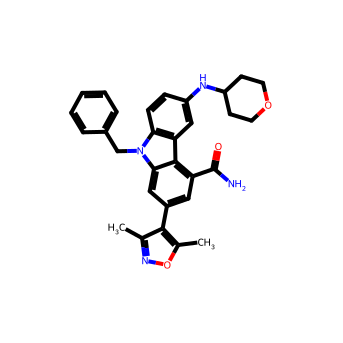 Cc1noc(C)c1-c1cc(C(N)=O)c2c3cc(NC4CCOCC4)ccc3n(Cc3ccccc3)c2c1